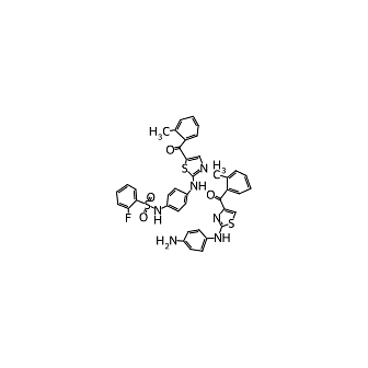 Cc1ccccc1C(=O)c1cnc(Nc2ccc(NS(=O)(=O)c3ccccc3F)cc2)s1.Cc1ccccc1C(=O)c1csc(Nc2ccc(N)cc2)n1